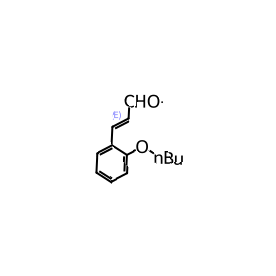 CCCCOc1ccccc1/C=C/[C]=O